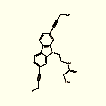 CC(C)(C)OC(=O)NCCn1c2cc(C#CCO)ccc2c2ccc(C#CCO)cc21